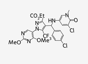 CCOC(=O)c1nn(-c2cnc(OC)nc2OC)c(C(F)(F)F)c1C(Nc1cc(Cl)c(=O)n(C)c1)c1ccc(Cl)cc1